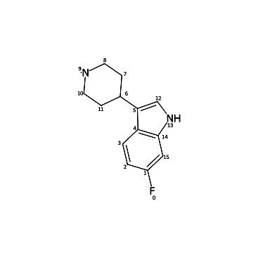 Fc1ccc2c(C3CC[N]CC3)c[nH]c2c1